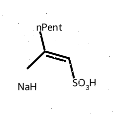 CCCCCC(C)=CS(=O)(=O)O.[NaH]